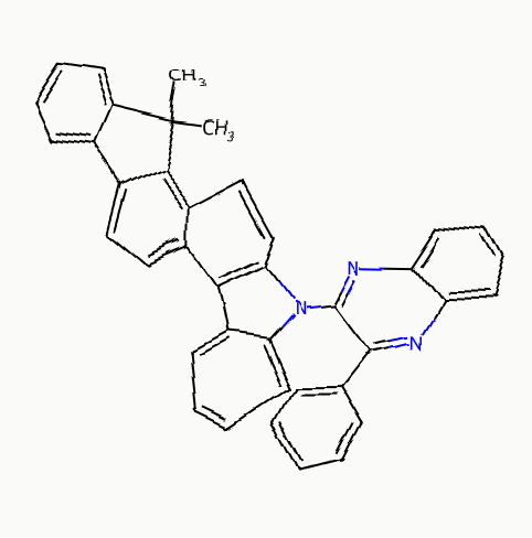 CC1(C)c2ccccc2-c2ccc3c(ccc4c3c3ccccc3n4-c3nc4ccccc4nc3-c3ccccc3)c21